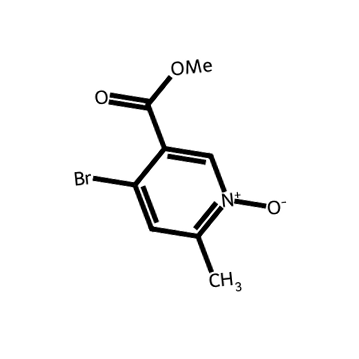 COC(=O)c1c[n+]([O-])c(C)cc1Br